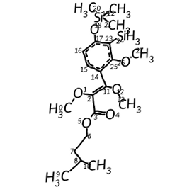 COC(C(=O)OCCC(C)C)=C(OC)c1ccc(O[Si](C)(C)C)c([SiH3])c1OC